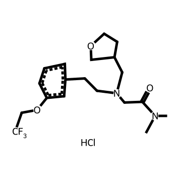 CN(C)C(=O)CN(CCc1cccc(OCC(F)(F)F)c1)CC1CCOC1.Cl